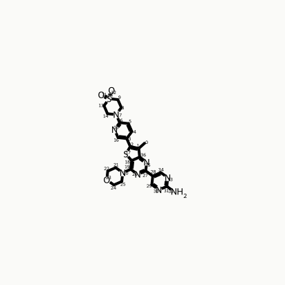 Cc1c(-c2ccc(N3CCS(=O)(=O)CC3)nc2)sc2c(N3CCOCC3)nc(-c3cnc(N)nc3)nc12